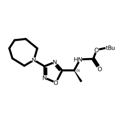 C[C@H](NC(=O)OC(C)(C)C)c1nc(N2CCCCCC2)no1